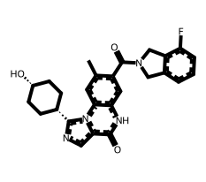 Cc1cc2c(cc1C(=O)N1Cc3cccc(F)c3C1)[nH]c(=O)c1cnc([C@H]3CC[C@@H](O)CC3)n12